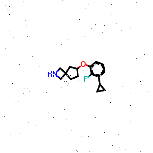 Fc1c(OC2CCC3(CNC3)C2)cccc1C1CC1